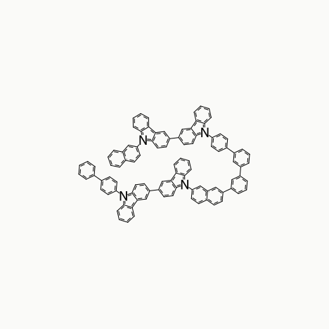 c1ccc(-c2ccc(-n3c4ccccc4c4cc(-c5ccc6c(c5)c5ccccc5n6-c5ccc6ccc(-c7cccc(-c8cccc(-c9ccc(-n%10c%11ccccc%11c%11cc(-c%12ccc%13c(c%12)c%12ccccc%12n%13-c%12ccc%13ccccc%13c%12)ccc%11%10)cc9)c8)c7)cc6c5)ccc43)cc2)cc1